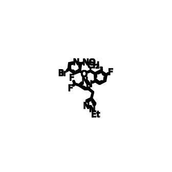 CCn1cc(Cc2cc(C(F)F)nn2-c2ccc(F)cc2[C@@H](C)Oc2cc(Br)cnc2[N+](=O)[O-])cn1